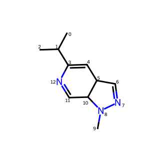 CC(C)C1=CC2C=NN(C)C2C=N1